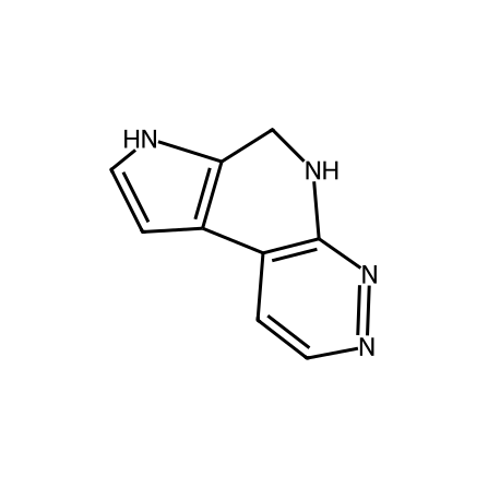 c1cc2c(nn1)NCc1[nH]ccc1-2